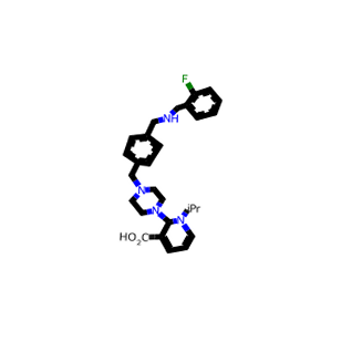 CC(C)N1C=CC=C(C(=O)O)C1N1CCN(Cc2ccc(CNCc3ccccc3F)cc2)CC1